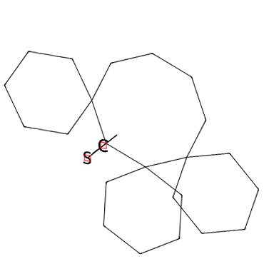 C1CCC2(CC1)CCCCC1(CCCCC1)C1(CCCSC1)C21CCCCC1